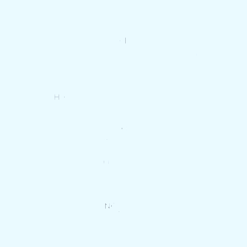 Cc1c(Cc2cccc([N+](=O)[O-])c2)c(=O)oc2cc(-c3ccsc3)c(Cl)cc12